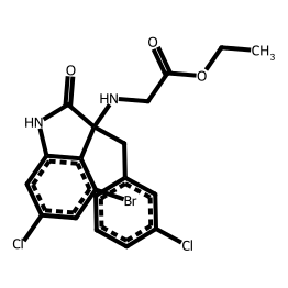 CCOC(=O)CNC1(Cc2cccc(Cl)c2)C(=O)Nc2cc(Cl)cc(Br)c21